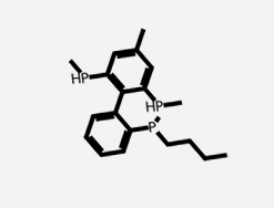 CCCCP(C)c1ccccc1-c1c(PC)cc(C)cc1PC